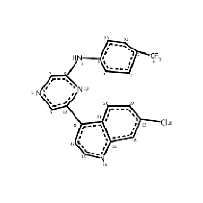 FC(F)(F)c1ccc(Nc2cncc(-c3ccnc4cc(Cl)ccc34)n2)cc1